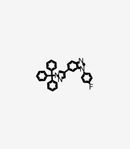 Fc1ccc(-n2cnc3ccc(-c4cnn(C(c5ccccc5)(c5ccccc5)c5ccccc5)c4)cc32)cc1